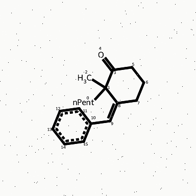 CCCCCC1(C)C(=O)CCCC1=Cc1ccccc1